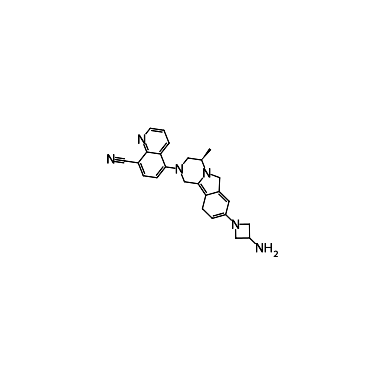 C[C@@H]1CN(c2ccc(C#N)c3ncccc23)CC2=C3CC=C(N4CC(N)C4)C=C3CN21